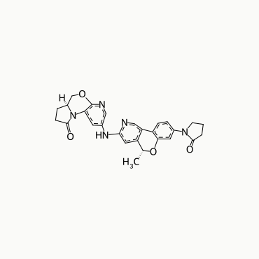 C[C@H]1Oc2cc(N3CCCC3=O)ccc2-c2cnc(Nc3cnc4c(c3)N3C(=O)CC[C@H]3CO4)cc21